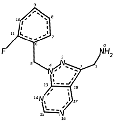 NCc1nn(Cc2ccccc2F)c2ncncc12